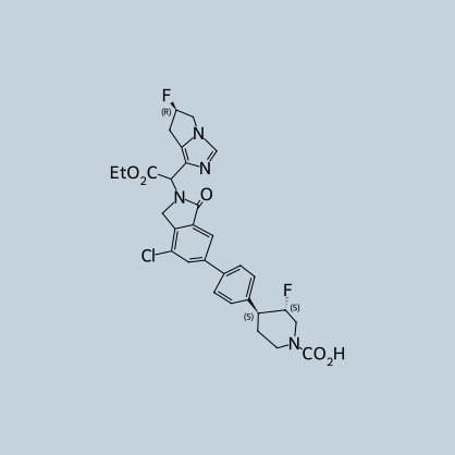 CCOC(=O)C(c1ncn2c1C[C@@H](F)C2)N1Cc2c(Cl)cc(-c3ccc([C@@H]4CCN(C(=O)O)C[C@H]4F)cc3)cc2C1=O